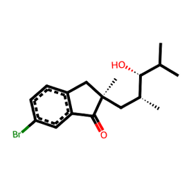 CC(C)[C@@H](O)[C@H](C)C[C@]1(C)Cc2ccc(Br)cc2C1=O